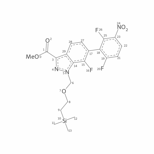 COC(=O)c1nn(COCC[Si](C)(C)C)c2c(F)c(-c3c(F)ccc([N+](=O)[O-])c3F)ccc12